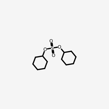 O=S(=O)(OC1CCCCC1)OC1CCCCC1